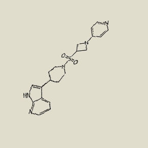 O=S(=O)(C1CN(c2ccncc2)C1)N1CCC(c2c[nH]c3ncccc23)CC1